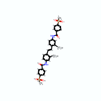 CS(=O)(=O)c1ccc(C(=O)Nc2ccc(/C=C/c3ccc(NC(=O)c4ccc(S(C)(=O)=O)cc4)cc3S(=O)(=O)O)c(S(=O)(=O)O)c2)cc1